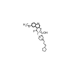 COc1ccc2ncc(F)c([C@@H](F)CC[C@H]3CCN(CCSC4CCCC4)C[C@H]3C(=O)O)c2c1